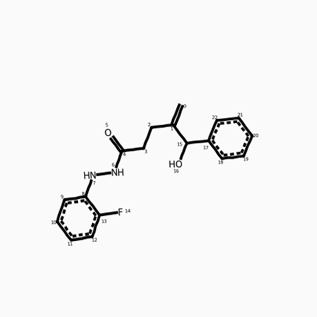 C=C(CCC(=O)NNc1ccccc1F)C(O)c1ccccc1